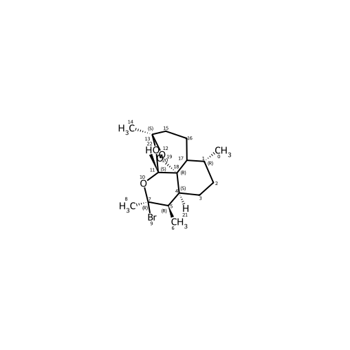 C[C@@H]1CC[C@H]2[C@@H](C)[C@@](C)(Br)O[C@@H]3O[C@]4(C)CCC1[C@]32OO4